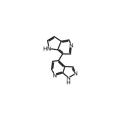 c1cc(-c2cncc3cc[nH]c23)c2cn[nH]c2n1